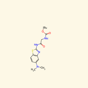 CN(C)c1ccc2sc(NC(=O)CNC(=O)OC(C)(C)C)nc2c1